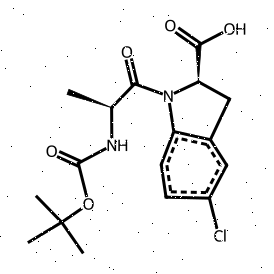 C[C@H](NC(=O)OC(C)(C)C)C(=O)N1c2ccc(Cl)cc2C[C@@H]1C(=O)O